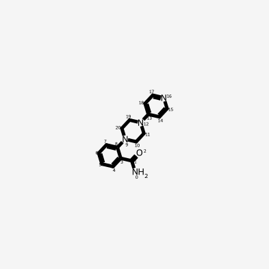 NC(=O)c1ccccc1N1CCN(c2ccncc2)CC1